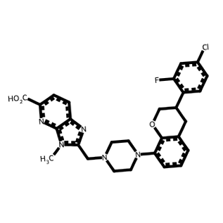 Cn1c(CN2CCN(c3cccc4c3OCC(c3ccc(Cl)cc3F)C4)CC2)nc2ccc(C(=O)O)nc21